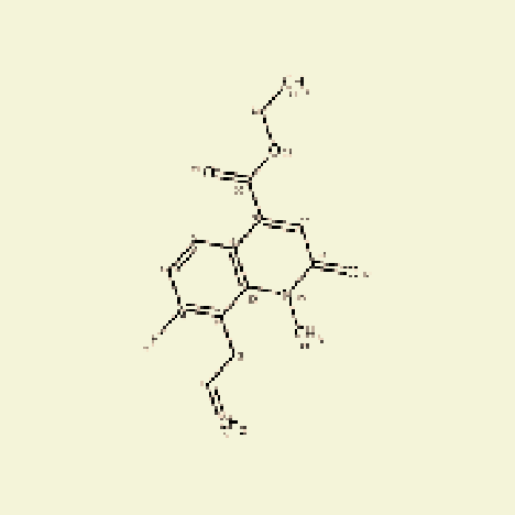 C=CCc1c(F)ccc2c(C(=O)OCC)cc(=O)n(C)c12